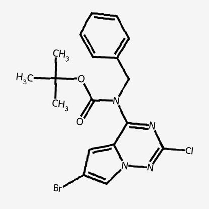 CC(C)(C)OC(=O)N(Cc1ccccc1)c1nc(Cl)nn2cc(Br)cc12